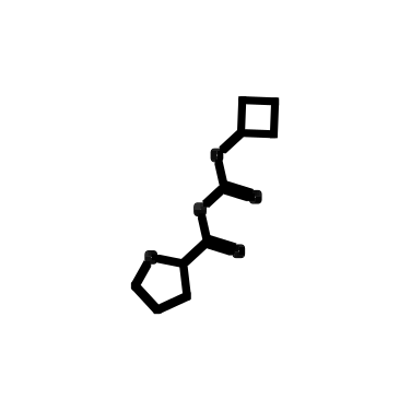 O=C(OC(=O)C1CCCO1)OC1CCC1